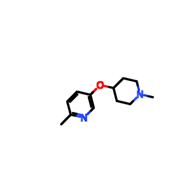 Cc1ccc(OC2CCN(C)CC2)cn1